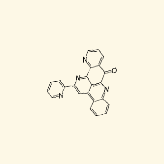 O=C1c2cccnc2-c2nc(-c3ccccn3)cc3c2c1nc1ccccc13